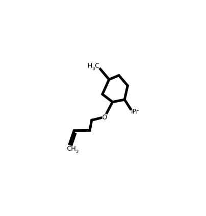 C=CCCOC1CC(C)CCC1C(C)C